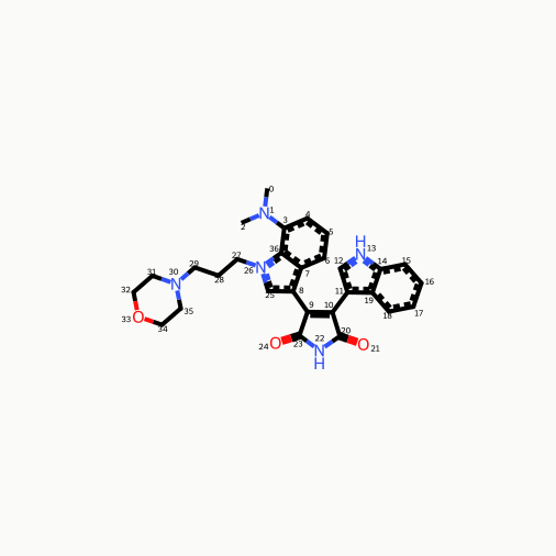 CN(C)c1cccc2c(C3=C(c4c[nH]c5ccccc45)C(=O)NC3=O)cn(CCCN3CCOCC3)c12